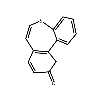 O=C1C=CC2=C(C1)c1ccccc1SC=C2